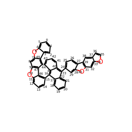 c1ccc2c(c1)oc1cc3oc4cccc(-c5c6ccccc6c(-c6ccc7c(c6)oc6cc8occc8cc67)c6ccccc56)c4c3cc12